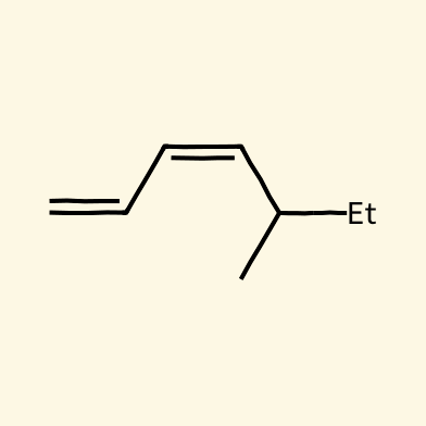 C=C/C=C\C(C)CC